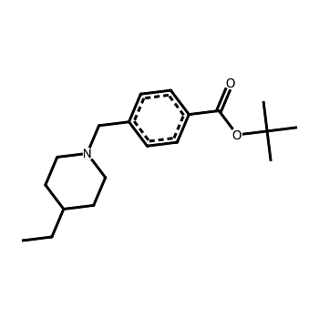 CCC1CCN(Cc2ccc(C(=O)OC(C)(C)C)cc2)CC1